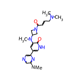 CNc1cncc(-c2c[nH]c(=O)c(N(C)C3CN(C(=O)C=CCN(C)C)C3)c2)n1